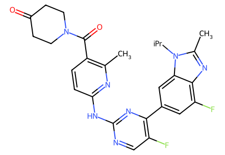 Cc1nc(Nc2ncc(F)c(-c3cc(F)c4nc(C)n(C(C)C)c4c3)n2)ccc1C(=O)N1CCC(=O)CC1